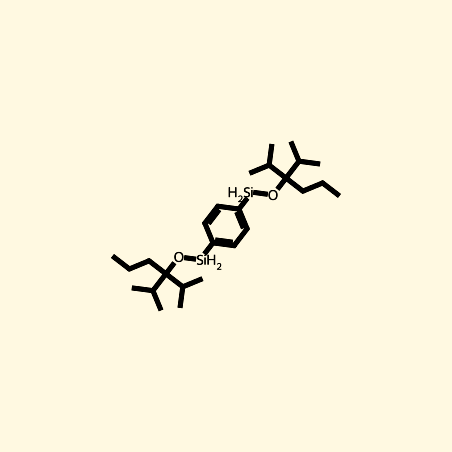 CCCC(O[SiH2]c1ccc([SiH2]OC(CCC)(C(C)C)C(C)C)cc1)(C(C)C)C(C)C